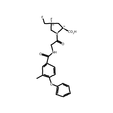 Cc1cc(C(=O)NCC(=O)N2C[C@@](F)(CF)C[C@H]2C(=O)O)ccc1Oc1ccccc1